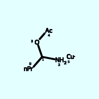 CCCC(N)OC(C)=O.[Cu]